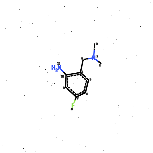 CN(C)Cc1ccc(F)cc1N